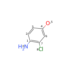 Nc1ccc([O])cc1Cl